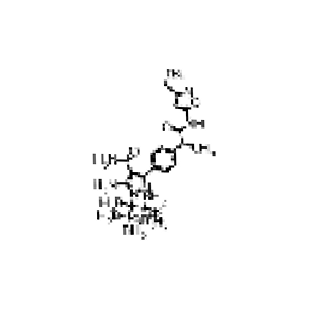 BC(B)(B)C(B)(n1nc(-c2ccc(C(C)C(=O)Nc3cc(CC(C)(C)C)no3)cc2)c(C(N)=O)c1N)C(B)(B)B